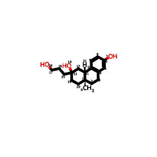 C[C@@]12CCc3cc(O)ccc3[C@H]1CC(O)(CCCO)CC2